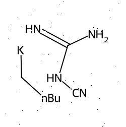 CCCC[CH2][K].N#CNC(=N)N